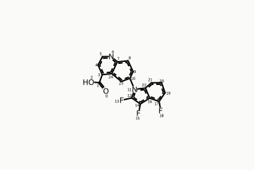 O=C(O)c1ccnc2ccc(-n3c(F)c(F)c4c(F)cccc43)cc12